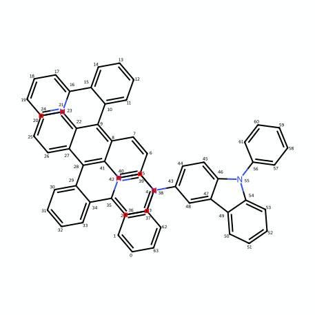 c1ccc(N(c2ccc3c(-c4ccccc4-c4ccccn4)c4ccccc4c(-c4ccccc4-c4ccccn4)c3c2)c2ccc3c(c2)c2ccccc2n3-c2ccccc2)cc1